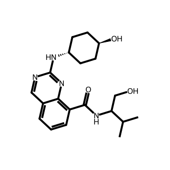 CC(C)C(CO)NC(=O)c1cccc2cnc(N[C@H]3CC[C@H](O)CC3)nc12